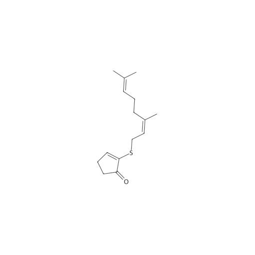 CC(C)=CCCC(C)=CCSC1=CCCC1=O